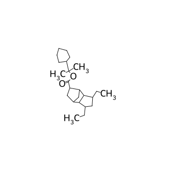 CCC1CC(CC)C2C3CC(CC3C(=O)OC(C)(C)C3CCCCC3)C12